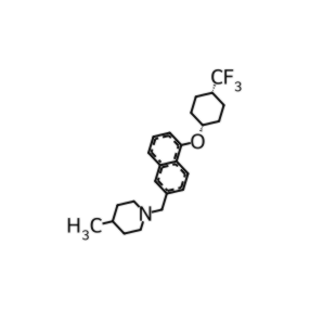 CC1CCN(Cc2ccc3c(O[C@H]4CC[C@@H](C(F)(F)F)CC4)cccc3c2)CC1